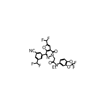 CCN(C(=O)Cn1nc(-c2cc(C#N)cc(C(F)F)c2)c2oc(C(F)F)cc2c1=O)c1ccc2c(c1)OC(F)(F)O2